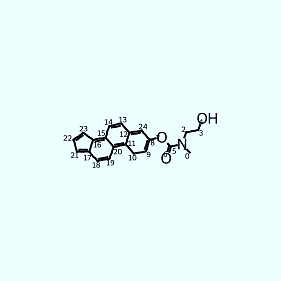 CN(CCO)C(=O)OC1=CCc2c(ccc3c4c(ccc23)=CC=C4)=C1